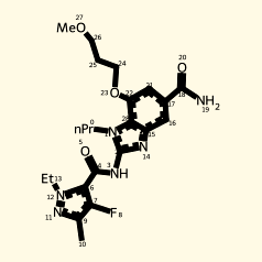 CCCn1c(NC(=O)c2c(F)c(C)nn2CC)nc2cc(C(N)=O)cc(OCCCOC)c21